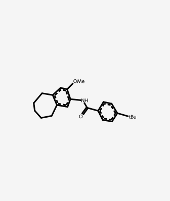 COc1cc2c(cc1NC(=O)c1ccc(C(C)(C)C)cc1)CCCCC2